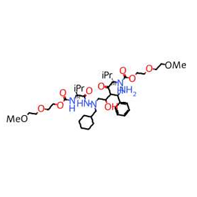 COCCOCCOC(=O)N[C@H](C(=O)NN(CC1CCCCC1)CC(O)C(C(=O)[C@@H](NC(=O)OCCOCCOC)C(C)C)C(N)c1ccccc1)C(C)C